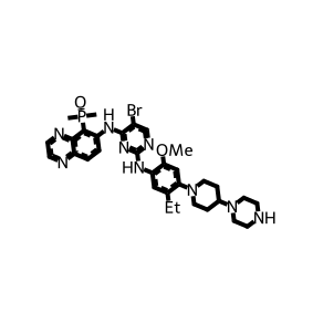 CCc1cc(Nc2ncc(Br)c(Nc3ccc4nccnc4c3P(C)(C)=O)n2)c(OC)cc1N1CCC(N2CCNCC2)CC1